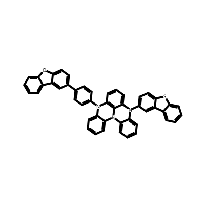 c1ccc2c(c1)B1c3ccccc3N(c3ccc4sc5ccccc5c4c3)c3cccc(c31)N2c1ccc(-c2ccc3oc4ccccc4c3c2)cc1